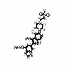 COc1cc(-c2[nH]c3cnc(N4CCN(CCS(C)(=O)=O)CC4)c(F)c3c2C(C)C)cn2ncnc12